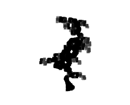 C=C(C)[C@@H]1CC[C@]2(CCN(C)CC3CC3)CC[C@]3(C)[C@H](CC[C@@H]4[C@@]5(C)CC[C@H](OC(=O)CC(C)(C)CC(=O)O)C(C)(C)[C@@H]5CC[C@]43C)[C@@H]12